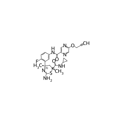 C#CCOc1cnc(C(=O)Nc2ccc(F)c([C@]3(C)C[C@](C)(C(=O)NC4CC4)SC(N)=N3)c2)cn1